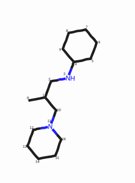 CC(CNC1CCCCC1)CN1CCCCC1